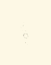 CCCC[C@]1(C)CC[C@H](c2ccc(CCC)cc2)CC1